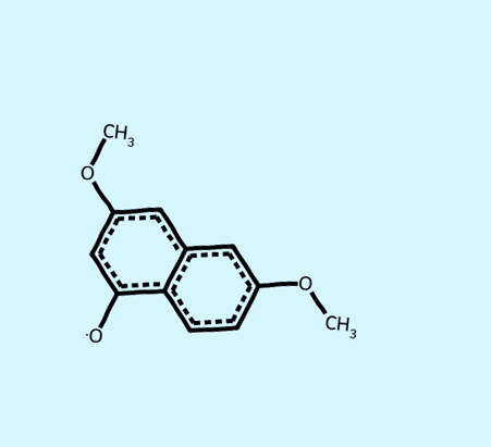 COc1ccc2c([O])cc(OC)cc2c1